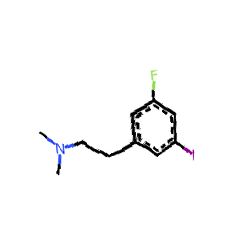 CN(C)CCc1cc(F)cc(I)c1